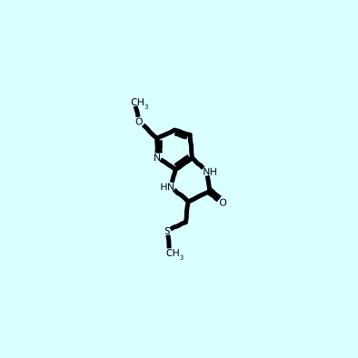 COc1ccc2c(n1)NC(CSC)C(=O)N2